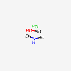 CCNCC.CCO.Cl